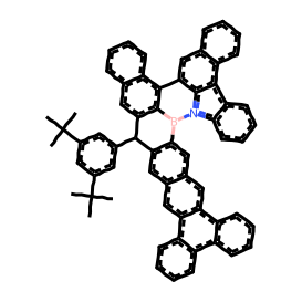 CC(C)(C)c1cc(C2c3cc4cc5c6ccccc6c6ccccc6c5cc4cc3B3c4c2cc2ccccc2c4-c2cc4ccccc4c4c5ccccc5n3c24)cc(C(C)(C)C)c1